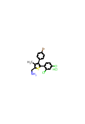 Cc1c(CN)sc(-c2ccc(Cl)cc2Cl)c1-c1ccc(Br)cc1.Cl